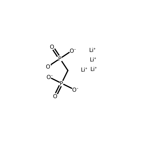 O=P([O-])([O-])CP(=O)([O-])[O-].[Li+].[Li+].[Li+].[Li+]